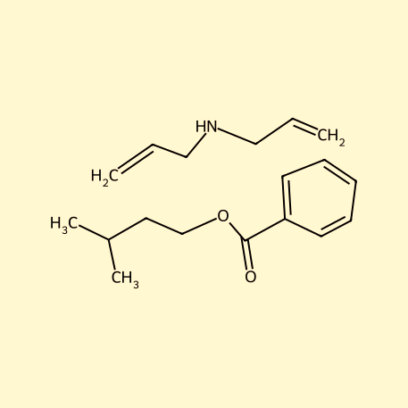 C=CCNCC=C.CC(C)CCOC(=O)c1ccccc1